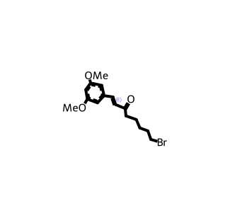 COc1cc(/C=C/C(=O)CCCCCBr)cc(OC)c1